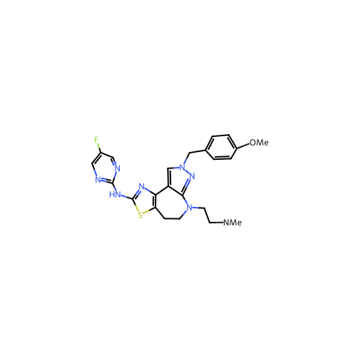 CNCCN1CCc2sc(Nc3ncc(F)cn3)nc2-c2cn(Cc3ccc(OC)cc3)nc21